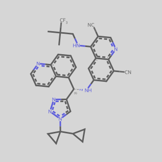 CC(C)(CNc1c(C#N)cnc2c(C#N)cc(N[C@H](c3cn(C4(C5CC5)CC4)nn3)c3cccc4ncccc34)cc12)C(F)(F)F